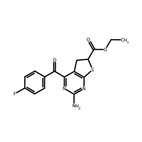 CCOC(=O)C1Cc2c(nc(N)nc2C(=O)c2ccc(F)cc2)S1